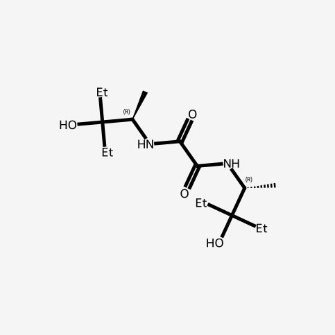 CCC(O)(CC)[C@@H](C)NC(=O)C(=O)N[C@H](C)C(O)(CC)CC